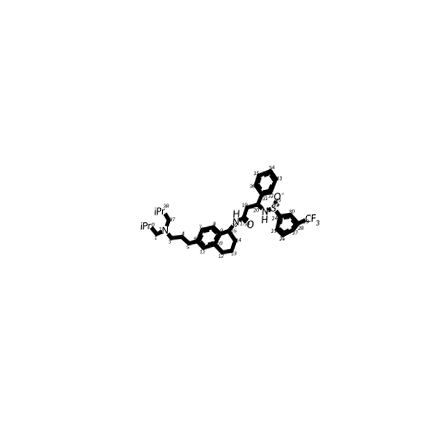 CC(C)CN(CCCc1ccc2c(c1)CCCC2NC(=O)CC(N[S+]([O-])c1cccc(C(F)(F)F)c1)c1ccccc1)CC(C)C